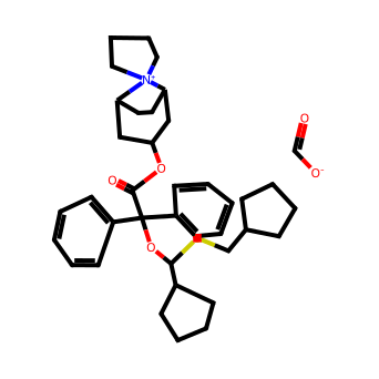 O=C(OC1CC2CCC(C1)[N+]21CCCC1)C(OC(SCC1CCCC1)C1CCCC1)(c1ccccc1)c1ccccc1.O=C[O-]